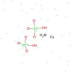 [AlH3].[Cu].[O-][Cl+3]([O-])([O-])O.[O-][Cl+3]([O-])([O-])O